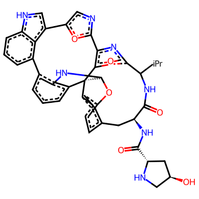 CC(C)C1NC(=O)[C@@H](NC(=O)[C@@H]2C[C@@H](O)CN2)Cc2ccc3c(c2)[C@]24c5cccc(c5NC2O3)-c2cccc3[nH]cc(c23)-c2cnc(o2)-c2nc1oc24